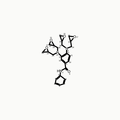 O=C(Nc1ccccc1)c1ccc(N(CC2CO2)CC2CO2)c(N(CC2CO2)CC2CO2)c1